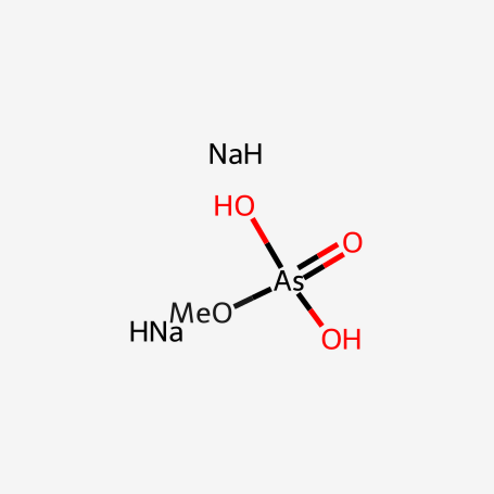 CO[As](=O)(O)O.[NaH].[NaH]